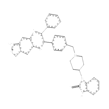 O=c1[nH]c2ccccc2n1C1CCN(Cc2ccc(-c3nc4cc5cn[nH]c5cc4nc3-c3ccccc3)cc2)CC1